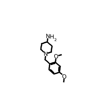 COc1ccc(CN2CCC(N)CC2)c(OC)c1